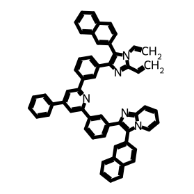 C=Cc1nc(-c2cccc(-c3cc(-c4ccccc4)cc(-c4cccc(-c5nc6ccccn6c5-c5ccc6ccccc6c5)c4)n3)c2)c(-c2ccc3ccccc3c2)n1C=C